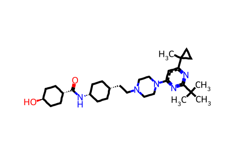 CC(C)(C)c1nc(N2CCN(CC[C@H]3CC[C@@H](NC(=O)[C@H]4CC[C@H](O)CC4)CC3)CC2)cc(C2(C)CC2)n1